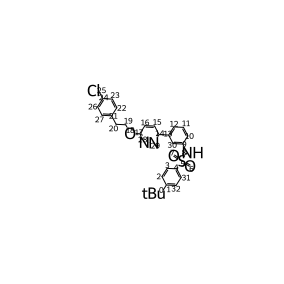 CC(C)(C)c1ccc(S(=O)(=O)Nc2cccc(-c3ccc(OCCc4ccc(Cl)cc4)nn3)c2)cc1